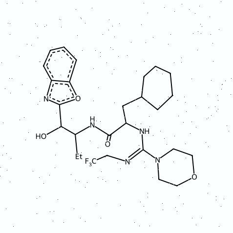 CCC(NC(=O)C(CC1CCCCC1)N/C(=N\CC(F)(F)F)N1CCOCC1)C(O)c1nc2ccccc2o1